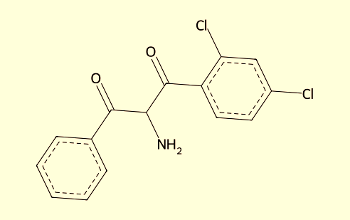 NC(C(=O)c1ccccc1)C(=O)c1ccc(Cl)cc1Cl